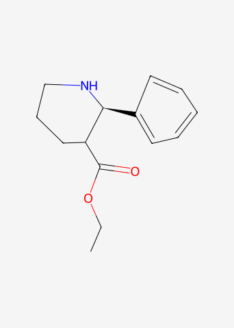 CCOC(=O)C1CCCN[C@H]1c1ccccc1